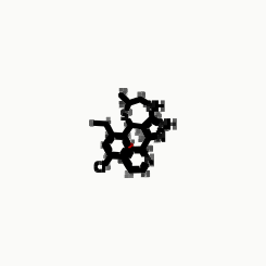 CCc1cc(Cl)ccc1C1SC(C)CNc2[nH]nc(-c3ccccn3)c21